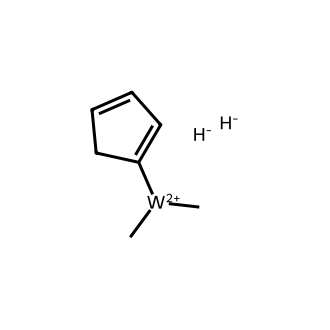 [CH3][W+2]([CH3])[C]1=CC=CC1.[H-].[H-]